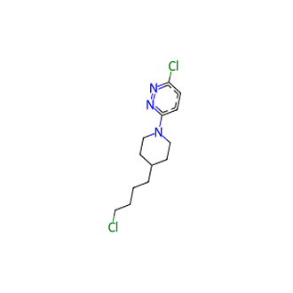 ClCCCCC1CCN(c2ccc(Cl)nn2)CC1